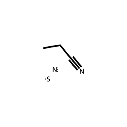 CCC#N.[N].[S]